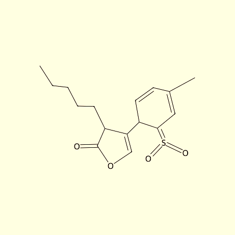 CCCCCC1C(=O)OC=C1C1C=CC(C)=CC1=S(=O)=O